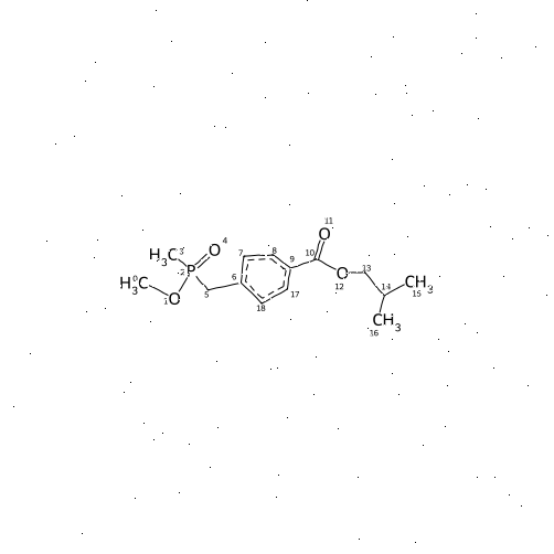 COP(C)(=O)Cc1ccc(C(=O)OCC(C)C)cc1